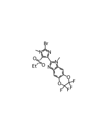 CCS(=O)(=O)c1c(-c2nc3cc4c(cc3n2C)OC(F)(F)C(F)(F)O4)nc(Br)n1C